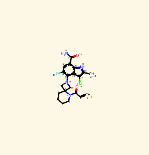 C=CC(=O)N1CCCCC12CN(c1c(F)cc(C(N)=O)c3[nH]c(C)c(Cl)c13)C2